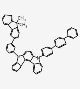 CC1(C)c2ccccc2-c2cc(-c3cccc(-n4c5ccccc5c5c6c7ccccc7n(-c7ccc(-c8ccc(-c9ccccc9)cc8)cc7)c6ccc54)c3)ccc21